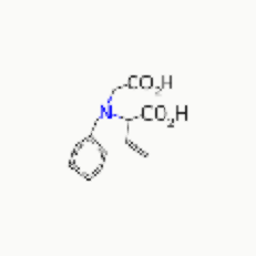 C=CC(C(=O)O)N(CC(=O)O)Cc1ccccc1